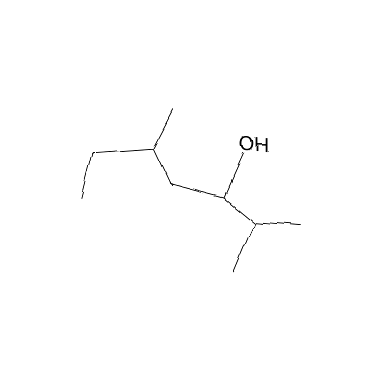 CCC(C)CC(O)C(C)C